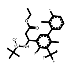 CCOC(=O)CC(N[S@+]([O-])C(C)(C)C)c1cc(-c2cccc(F)c2C)c(C)c(C(F)(F)F)c1F